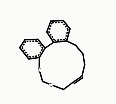 C1=CCCCc2ccccc2-c2ccccc2CCCC1